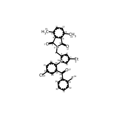 CCc1cc(CN2C(=O)c3c(C)ccc(C)c3C2=O)n(-c2ccc(Cl)cc2C(=O)c2ccccc2F)c1